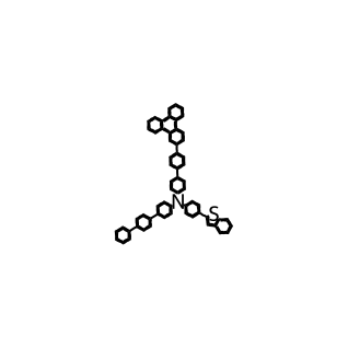 c1ccc(-c2ccc(-c3ccc(N(c4ccc(-c5ccc(-c6ccc7c8ccccc8c8ccccc8c7c6)cc5)cc4)c4ccc(-c5cc6ccccc6s5)cc4)cc3)cc2)cc1